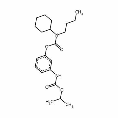 CCCCN(C(=O)Oc1cccc(NC(=O)OC(C)C)c1)C1CCCCC1